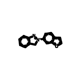 c1ccc2c(c1)C[N+](c1ccc3ccoc3c1)=N2